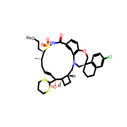 COCC[C@@H]1[C@@H](C)C/C=C/[C@](O)(C2SCCCS2)[C@@H]2CC[C@H]2CN2C[C@@]3(CCCc4cc(Cl)ccc43)COc3ccc(cc32)C(=O)NS1(=O)=O